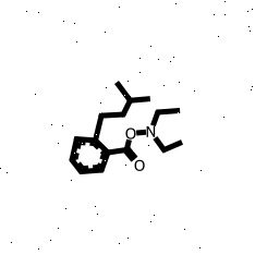 CCN(CC)OC(=O)c1ccccc1CCC(C)C